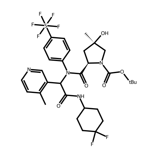 Cc1ccncc1C(C(=O)NC1CCC(F)(F)CC1)N(C(=O)[C@H]1C[C@@](C)(O)CN1C(=O)OC(C)(C)C)c1ccc(S(F)(F)(F)(F)F)cc1